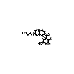 O=C(c1ccc2ncc(OCCO)nc2c1)c1c(F)c(O)cc(F)c1F